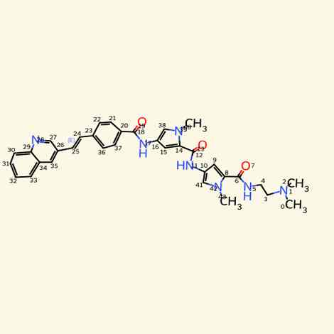 CN(C)CCNC(=O)c1cc(NC(=O)c2cc(NC(=O)c3ccc(/C=C/c4cnc5ccccc5c4)cc3)cn2C)cn1C